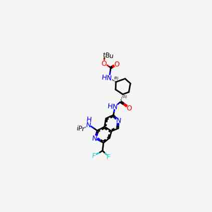 CC(C)Nc1nc(C(F)F)cc2cnc(NC(=O)[C@H]3CCC[C@@H](NC(=O)OC(C)(C)C)C3)cc12